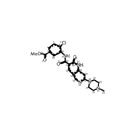 COC(=O)c1ccc(Cl)c(NC(=O)c2cc3cnc(N4CCN(C)CC4)cc3[nH]c2=O)c1